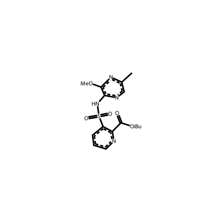 COc1nc(C)cnc1NS(=O)(=O)c1cccnc1C(=O)OCC(C)C